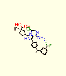 CC(C)[C@@]1(C(O)O)CCC(C2NC(c3ccc([C@H](C)c4cccc(C(F)F)c4)cc3)=C3C(N)=NC=C(Cl)N32)C1